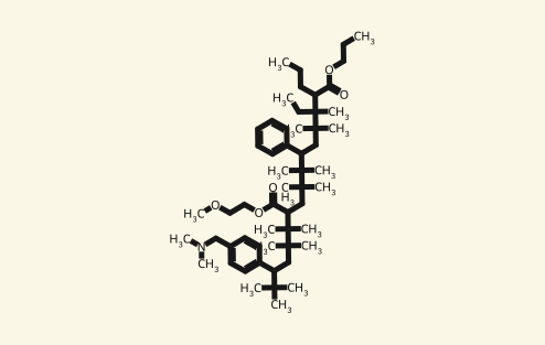 CCCOC(=O)C(CCC)C(C)(CC)C(C)(C)CC(c1ccccc1)C(C)(C)C(C)(C)CC(C(=O)OCCOC)C(C)(C)C(C)(C)CC(c1ccc(CN(C)C)cc1)C(C)(C)C